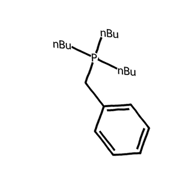 CCCC[P](CCCC)(CCCC)Cc1ccccc1